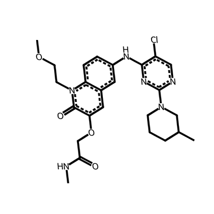 CNC(=O)COc1cc2cc(Nc3nc(N4CCCC(C)C4)ncc3Cl)ccc2n(CCOC)c1=O